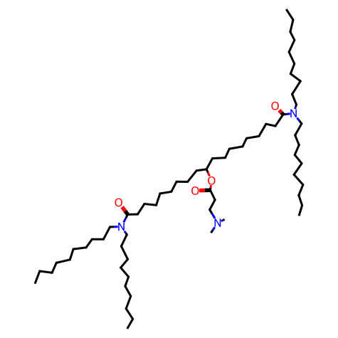 CCCCCCCCCCN(CCCCCCCCCC)C(=O)CCCCCCCCC(CCCCCCCCC(=O)N(CCCCCCCCCC)CCCCCCCCCC)OC(=O)CCN(C)C